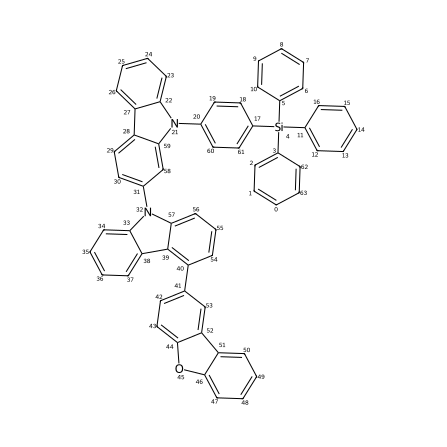 c1ccc([Si](c2ccccc2)(c2ccccc2)c2ccc(-n3c4ccccc4c4ccc(-n5c6ccccc6c6c(-c7ccc8oc9ccccc9c8c7)cccc65)cc43)cc2)cc1